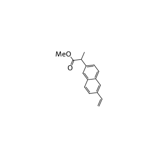 C=Cc1ccc2cc(C(C)C(=O)OC)ccc2c1